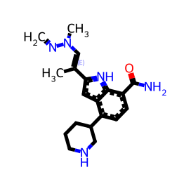 C=NN(C)/C=C(\C)c1cc2c(C3CCCNC3)ccc(C(N)=O)c2[nH]1